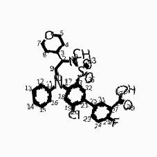 CN1[C@H](C2CCOCC2)CN(c2ccccc2)c2cc(Cl)c(-c3ccc(F)c(C(=O)O)c3)cc2S1(=O)=O